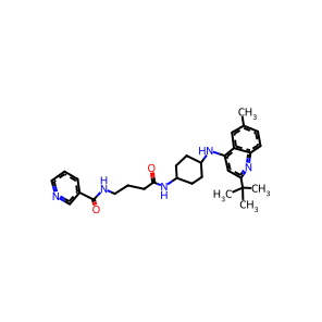 Cc1ccc2nc(C(C)(C)C)cc(NC3CCC(NC(=O)CCCNC(=O)c4cccnc4)CC3)c2c1